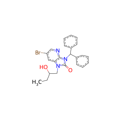 CCC(O)Cn1c(=O)n(C(c2ccccc2)c2ccccc2)c2ncc(Br)cc21